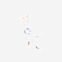 CNC(=O)[C@@H]1C[C@@H](O)CN1C(=O)[C@@H](n1cc(CNS(C)(=O)=O)nn1)C(C)(C)C